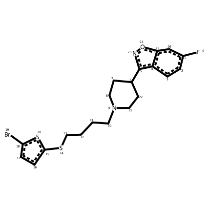 Fc1ccc2c(C3CCN(CCCCSc4ccc(Br)s4)CC3)noc2c1